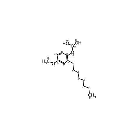 CCCCCCCCc1cc(OC)ccc1OB(O)O